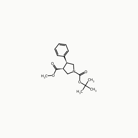 COC(=O)[C@@H]1CN(C(=O)OC(C)(C)C)C[C@@H]1c1ccccc1